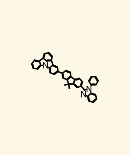 CC1(C)c2cc(-c3ccc4c(c3)c3cccc5c6ccccc6n4c53)ccc2-c2ccc(-c3nc4ccccc4n3-c3ccccc3)cc21